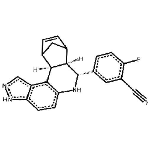 N#Cc1cc([C@@H]2Nc3ccc4[nH]ncc4c3[C@H]3C4C=CC(C4)[C@@H]23)ccc1F